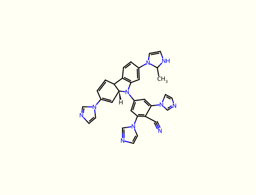 CC1NC=CN1c1ccc2c(c1)N(c1cc(-n3ccnc3)c(C#N)c(-n3ccnc3)c1)[C@@H]1C=C(n3ccnc3)C=CC21